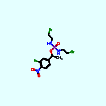 CC(OP(=O)(NCCBr)NCCBr)c1ccc([N+](=O)[O-])c(F)c1